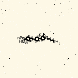 C=CCCCOc1ccc(C2CCC(OCc3ccc(C(O)CCC)c(F)c3F)CC2)c(F)c1F